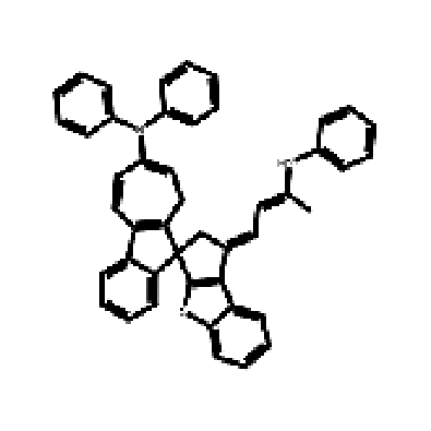 C/C(=C\C=C1/CC2(C3=C(C=CC(N(c4ccccc4)c4ccccc4)=CC3)c3ccccc32)c2sc3ccccc3c21)Nc1ccccc1